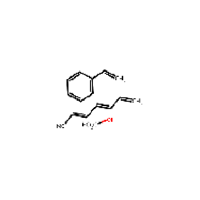 C=CC=CC=CC#N.C=Cc1ccccc1.O=C(O)O